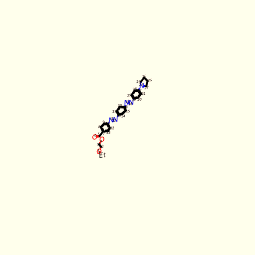 CCOCCOC(=O)c1ccc(N=Nc2ccc(N=Nc3ccc(N4CCCC4)cc3)cc2)cc1